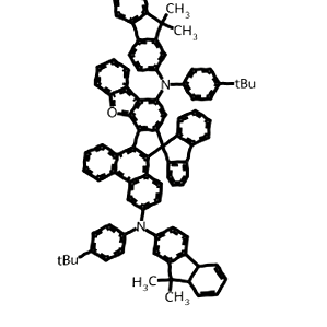 CC(C)(C)c1ccc(N(c2ccc3c(c2)C(C)(C)C2C=CC=CC32)c2ccc3c4c(c5ccccc5c3c2)-c2c(cc(N(c3ccc(C(C)(C)C)cc3)c3ccc5c(c3)C(C)(C)c3ccccc3-5)c3c2oc2ccccc23)C42c3ccccc3-c3ccccc32)cc1